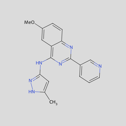 COc1ccc2nc(-c3cccnc3)nc(Nc3cc(C)[nH]n3)c2c1